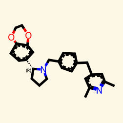 Cc1cc(Cc2ccc(CN3CCC[C@@H]3c3ccc4c(c3)OCCO4)cc2)cc(C)n1